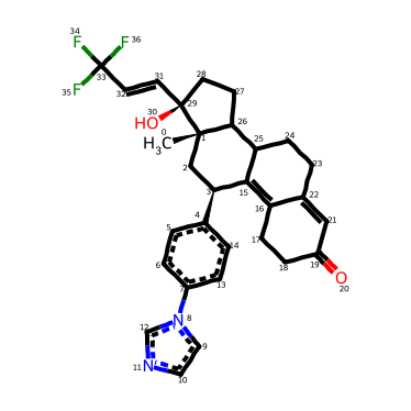 C[C@]12C[C@H](c3ccc(-n4ccnc4)cc3)C3=C4CCC(=O)C=C4CCC3C1CC[C@@]2(O)/C=C/C(F)(F)F